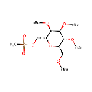 CCCCOC[C@H]1O[C@H](COS(C)(=O)=O)[C@@H](OCCCC)[C@@H](OCCCC)[C@@H]1OCCCC